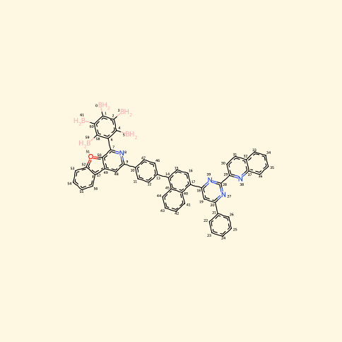 Bc1c(B)c(B)c(-c2nc(-c3ccc(-c4ccc(-c5cc(-c6ccccc6)nc(-c6ccc7ccccc7n6)n5)c5ccccc45)cc3)cc3c2oc2ccccc23)c(B)c1B